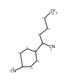 [C-]#[N+]C1CCC(C(C#N)CCCC(F)(F)F)CC1